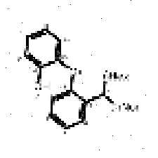 CCCCCCCCCC(CCCCCC)c1ccccc1Oc1ccccc1O